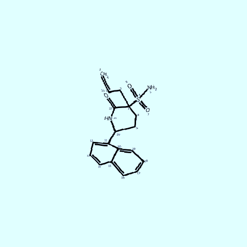 C=CCC1(S(N)(=O)=O)CCC(c2cccc3ccccc23)NC1=O